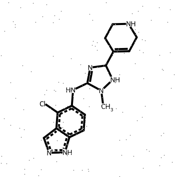 CN1NC(C2=CCNCC2)N=C1Nc1ccc2[nH]ncc2c1Cl